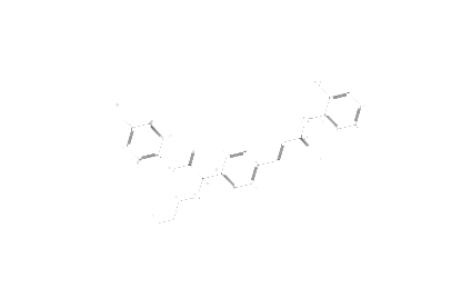 Nc1ccccc1NC(=O)C=Cc1ccc(C(NCCO)C(=O)Nc2ccc(C(F)(F)F)cc2)cc1